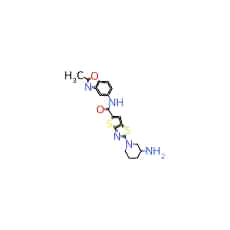 Cc1nc2cc(NC(=O)c3cc4sc(N5CCCC(N)C5)nc4s3)ccc2o1